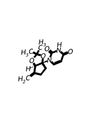 C=C1CC[C@@]2(n3ccc(=O)[nH]c3=O)OC(C)(C)O[C@H]12